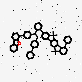 CC1(C)c2cc(-c3ccccc3C(Cc3ccc(-c4ccccc4)cc3)c3ccc(-c4cccc5c4oc4ccccc45)cc3)ccc2-c2cc3c(cc21)-c1c(-c2ccccc2)cccc1C3(C)C